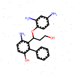 Nc1ccc(OC(CCO)c2c(N)ccc(O)c2-c2ccccc2)c(N)c1